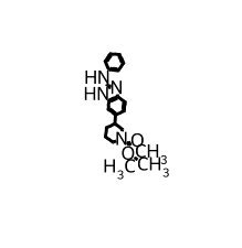 CC(C)(C)OC(=O)N1CCCC(c2ccc3nc(Nc4ccccc4)[nH]c3c2)C1